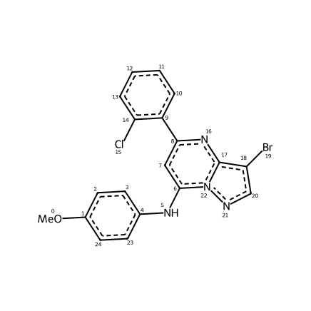 COc1ccc(Nc2cc(-c3ccccc3Cl)nc3c(Br)cnn23)cc1